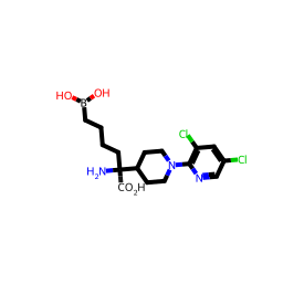 NC(CCCCB(O)O)(C(=O)O)C1CCN(c2ncc(Cl)cc2Cl)CC1